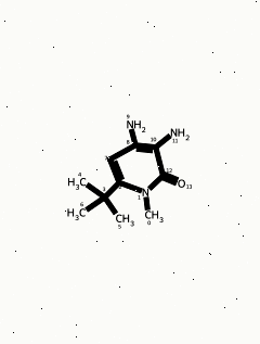 Cn1c(C(C)(C)C)cc(N)c(N)c1=O